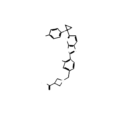 O=C(O)C1CN(Cc2ccc(-c3nc4ccc(C5(c6ccc(F)cc6)CC5)nc4s3)c(F)c2)C1